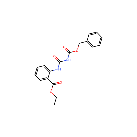 CCOC(=O)c1ccccc1NC(=O)NC(=O)OCc1ccccc1